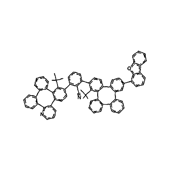 CC(C)(C)c1c(-c2cccc(-c3ccc4c(c3C(C)(C)C)-c3ccccc3-c3ccccc3-c3ncccc3-4)c2C#N)ccc2c1-c1ccccc1-c1ccccc1-c1cc(-c3cccc4c3oc3ccccc34)ccc1-2